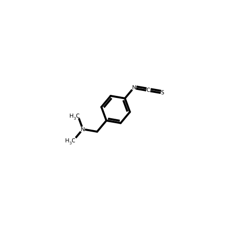 CN(C)Cc1ccc(N=C=S)cc1